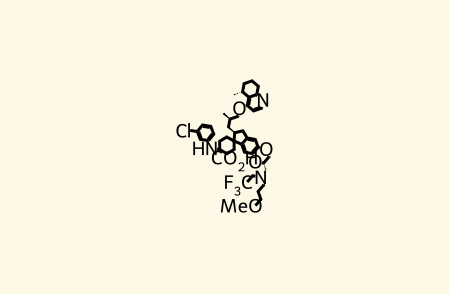 COCCCN(C[C@H]1COc2cc3c(cc2O1)C1(CCC(Nc2cccc(Cl)c2)(C(=O)O)CC1)[C@@H](C[C@@H](C)COc1ccnc2c1[C@H](C)CCC2)C3)CC(F)(F)F